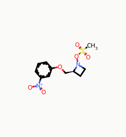 CS(=O)(=O)ON1CC[C@H]1COc1cccc([N+](=O)[O-])c1